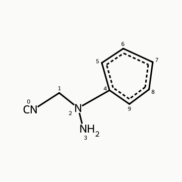 [C-]#[N+]CN(N)c1ccccc1